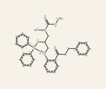 CCCN(CC(COc1ccccc1C(=O)CCc1ccccc1)O[Si](c1ccccc1)(c1ccccc1)C(C)(C)C)C(=O)OC(C)(C)C